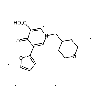 O=C(O)c1cn(CC2CCOCC2)cc(-c2ccco2)c1=O